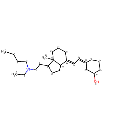 CCCCN(CC)CCC1CCC2/C(=C/C=C3/CCCC(O)C3)CCCC12C